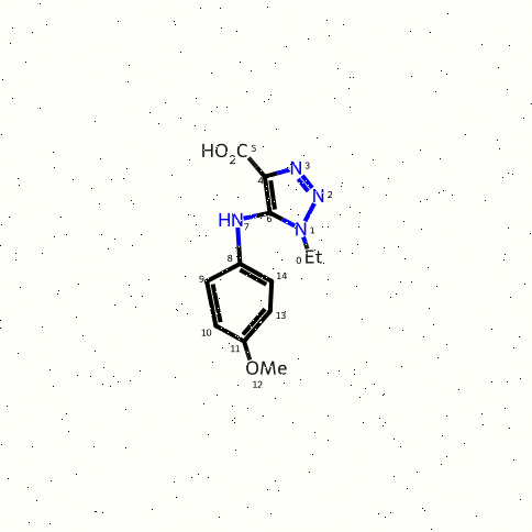 CCn1nnc(C(=O)O)c1Nc1ccc(OC)cc1